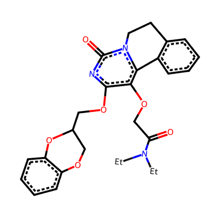 CCN(CC)C(=O)COc1c(OCC2COc3ccccc3O2)nc(=O)n2c1-c1ccccc1CC2